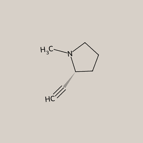 C#C[C@H]1CCCN1C